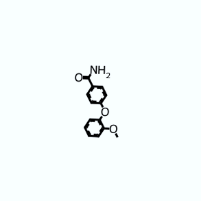 COc1ccccc1Oc1ccc(C(N)=O)cc1